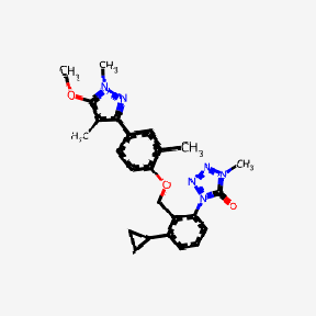 COc1c(C)c(-c2ccc(OCc3c(C4CC4)cccc3-n3nnn(C)c3=O)c(C)c2)nn1C